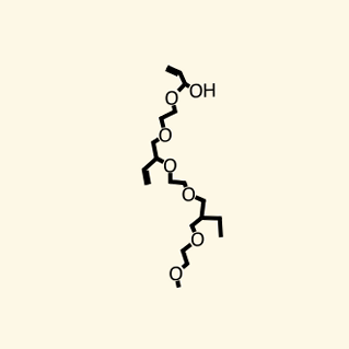 C=CC(O)OCCOCC(C=C)OCCOCC(CC)COCCOC